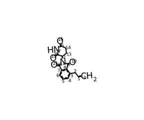 C=CCc1cccc2c1C(=O)N(C1CCC(=O)NC1=O)C2=O